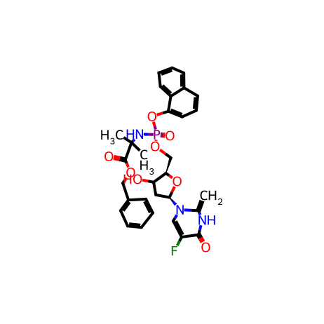 C=C1NC(=O)C(F)=CN1[C@H]1CC(O)[C@@H](COP(=O)(NC(C)(C)C(=O)OCc2ccccc2)Oc2cccc3ccccc23)O1